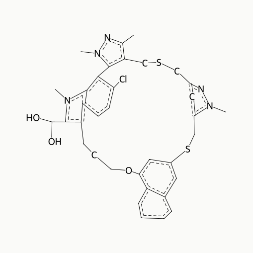 Cc1nn(C)c2c1CSCc1cc(n(C)n1)CSc1cc(c3ccccc3c1)OCCCc1c(C(O)O)n(C)c3c-2c(Cl)ccc13